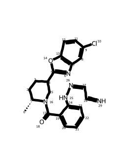 C[C@@H]1CCC(c2nc3cc(Cl)ccc3o2)CN1C(=O)c1ccccc1N/N=C\C=N